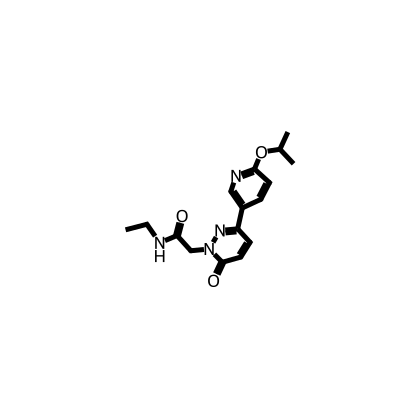 CCNC(=O)Cn1nc(-c2ccc(OC(C)C)nc2)ccc1=O